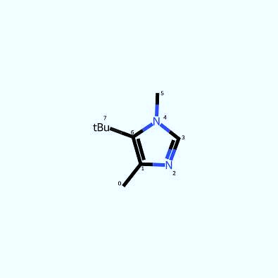 Cc1ncn(C)c1C(C)(C)C